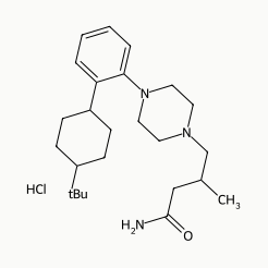 CC(CC(N)=O)CN1CCN(c2ccccc2C2CCC(C(C)(C)C)CC2)CC1.Cl